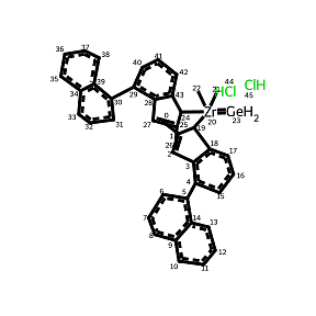 CC1=Cc2c(-c3cccc4ccccc34)cccc2[CH]1[Zr]([CH3])([CH3])(=[GeH2])[CH]1C(C)=Cc2c(-c3cccc4ccccc34)cccc21.Cl.Cl